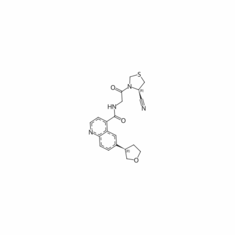 N#C[C@@H]1CSCN1C(=O)CNC(=O)c1ccnc2ccc([C@H]3CCOC3)cc12